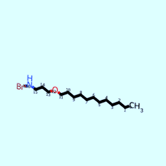 CCCCCCCCCCCCOCCCNBr